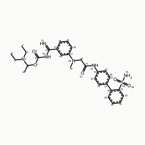 CCN(CC)C(C)OC(=O)NC(=N)c1cccc(N(C)CC(=O)Nc2ccc(-c3ccccc3S(N)(=O)=O)cc2)c1